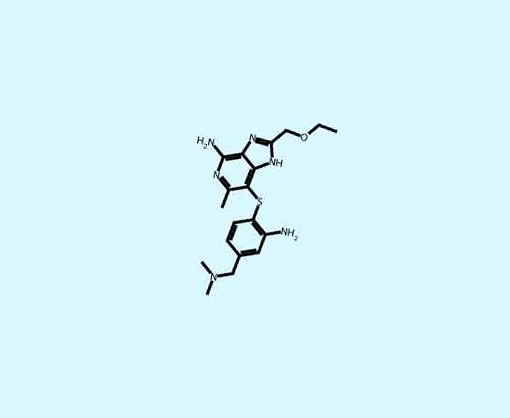 CCOCc1nc2c(N)nc(C)c(Sc3ccc(CN(C)C)cc3N)c2[nH]1